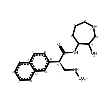 O=C(O)NC[C@H](C(=O)NC1CCCNCC1O)c1ccc2ccccc2c1